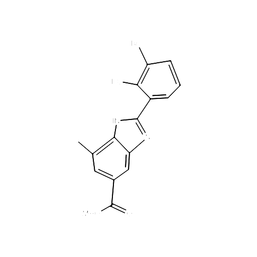 COC(=O)c1cc(I)c2[nH]c(-c3cccc(Br)c3C)nc2c1